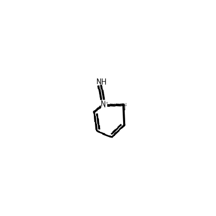 N=[N+]1[C]C=CC=C1